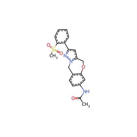 CC(=O)Nc1ccc2c(c1)OCc1cc(-c3ccccc3S(C)(=O)=O)nn1C2